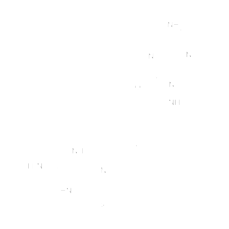 CN1CN(NCCSCc2csc(NC(=N)N)n2)[S+]([O-])N=C1N